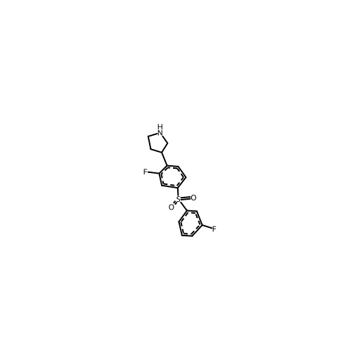 O=S(=O)(c1cccc(F)c1)c1ccc(C2CCNC2)c(F)c1